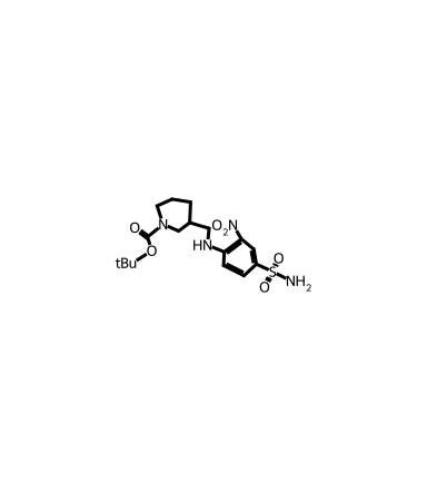 CC(C)(C)OC(=O)N1CCCC(CNc2ccc(S(N)(=O)=O)cc2[N+](=O)[O-])C1